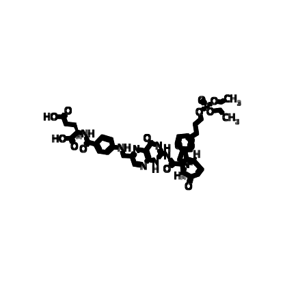 CCOP(=O)(OCC)OCCCCOC(=O)C1C(C(=O)Nc2nc(=O)c3nc(CNc4ccc(C(=O)N[C@H](CCC(=O)O)C(=O)O)cc4)cnc3[nH]2)[C@H]2C(=O)C=C[C@@H]1N2Cc1ccccc1